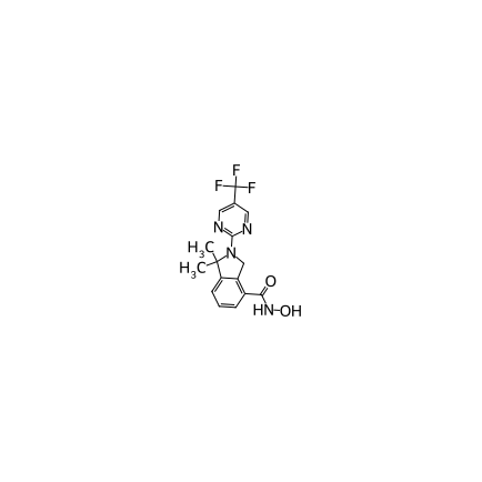 CC1(C)c2cccc(C(=O)NO)c2CN1c1ncc(C(F)(F)F)cn1